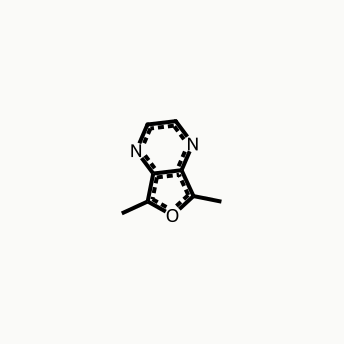 Cc1oc(C)c2nccnc12